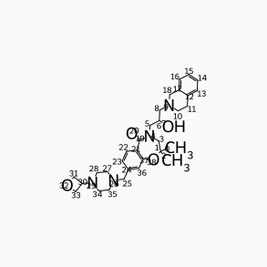 CC1(C)CN(CC(O)CN2CCc3ccccc3C2)C(=O)c2ccc(CN3CCN(C4COC4)CC3)cc2O1